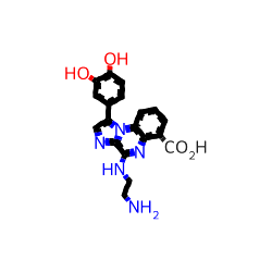 NCCNc1nc2c(C(=O)O)cccc2n2c(-c3ccc(O)c(O)c3)cnc12